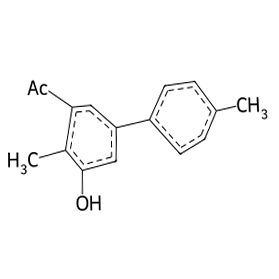 CC(=O)c1cc(-c2ccc(C)cc2)cc(O)c1C